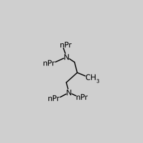 CCCN(CCC)CC(C)CN(CCC)CCC